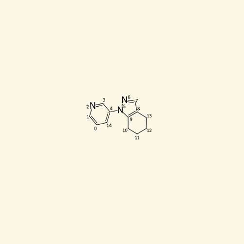 c1cncc(-n2ncc3c2CCCC3)c1